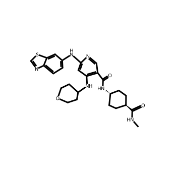 CNC(=O)[C@H]1CC[C@H](NC(=O)c2cnc(Nc3ccc4ncsc4c3)cc2NC2CCOCC2)CC1